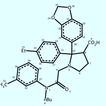 CCCCN(C(=O)CN1CCC(C(=O)O)C1(c1ccc(CC)cc1)c1ccc2c(c1)OCO2)c1cccc(C)c1